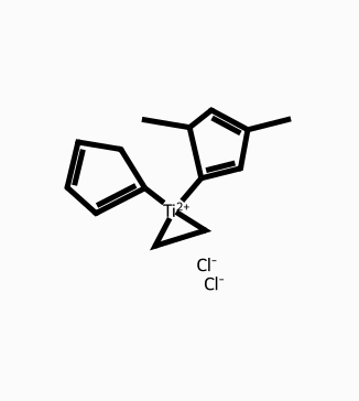 CC1=CC(C)[C]([Ti+2]2([C]3=CC=CC3)[CH2][CH2]2)=C1.[Cl-].[Cl-]